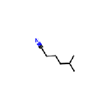 CC(C)CCCC#N